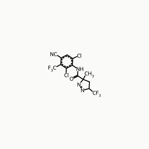 CC1(C(=O)Nc2c(Cl)cc(C#N)c(C(F)(F)F)c2Cl)CC(C(F)(F)F)N=N1